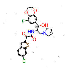 O=C(NC(CN1CCCC1)[C@H](O)c1cc(F)c2c(c1)OCCO2)C(=O)c1cc2ccc(Cl)cc2s1